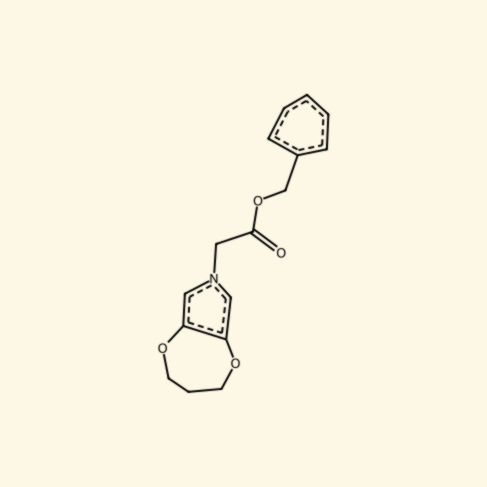 O=C(Cn1cc2c(c1)OCCCO2)OCc1ccccc1